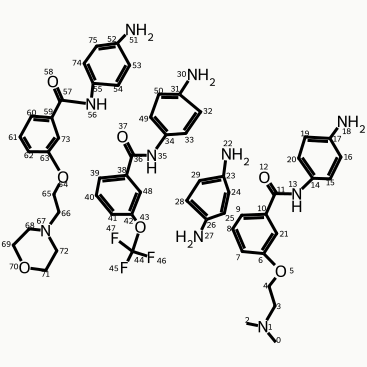 CN(C)CCOc1cccc(C(=O)Nc2ccc(N)cc2)c1.Nc1ccc(N)cc1.Nc1ccc(NC(=O)c2cccc(OC(F)(F)F)c2)cc1.Nc1ccc(NC(=O)c2cccc(OCCN3CCOCC3)c2)cc1